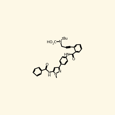 Cn1nc(-c2ccc(NC(=O)c3ccccc3C#CCN(C(=O)O)C(C)(C)C)cc2)cc1NC(=O)c1ccccc1